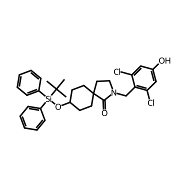 CC(C)(C)[Si](OC1CCC2(CC1)CCN(Cc1c(Cl)cc(O)cc1Cl)C2=O)(c1ccccc1)c1ccccc1